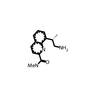 CNC(=O)c1ccc2cccc([C@H](C)CN)c2n1